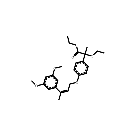 CCOC(=O)C(C)(OCC)c1ccc(OC/C=C(/C)c2cc(OC)cc(OC)c2)cc1